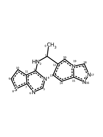 CC(Nc1ncnc2sccc12)c1ccc2nncn2c1